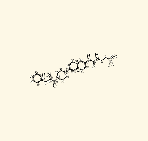 CCN(CC)CCNC(=S)Nc1ccc2nc(N3CCN(C(=O)[C@@H](N)Cc4ccccc4)CC3)ccc2c1